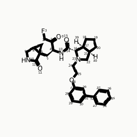 O=C(CF)[C@H](CC12CC1CNC2=O)NC(=O)[C@@H]1[C@H]2CCC[C@H]2CN1CCOc1cccc(-c2ccccc2)c1